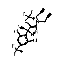 C#CCN(CC#C)C1=C(SC(F)(F)F)C(C#N)(c2c(Cl)cc(C(F)(F)F)cc2Cl)N=N1